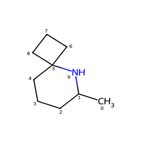 CC1CCCC2(CCC2)N1